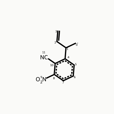 [CH2]C(C=C)c1cccc([N+](=O)[O-])c1C#N